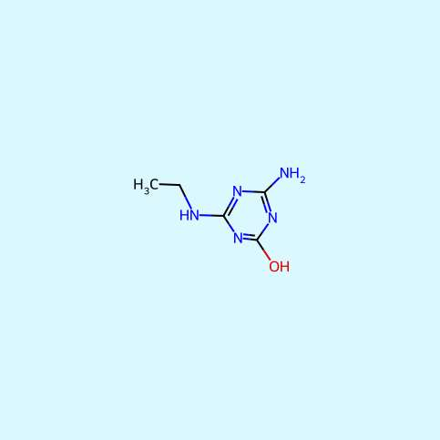 CCNc1nc(N)nc(O)n1